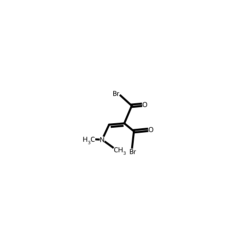 CN(C)C=C(C(=O)Br)C(=O)Br